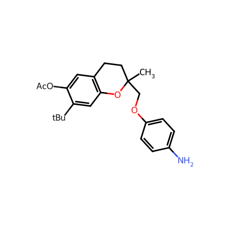 CC(=O)Oc1cc2c(cc1C(C)(C)C)OC(C)(COc1ccc(N)cc1)CC2